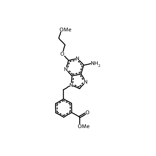 COCCOc1nc(N)c2ncn(Cc3cccc(C(=O)OC)c3)c2n1